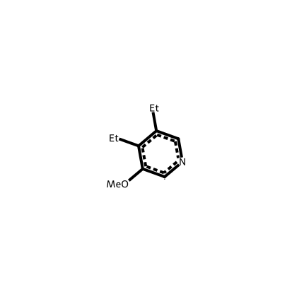 CCc1cn[c]c(OC)c1CC